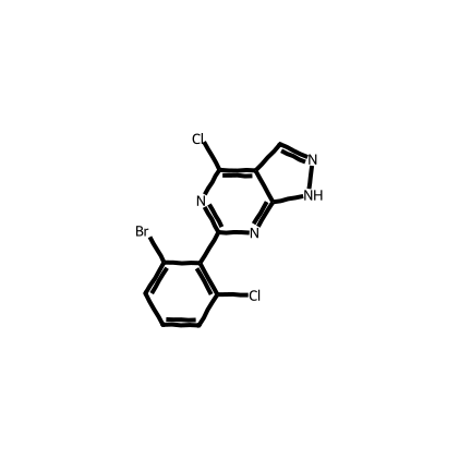 Clc1cccc(Br)c1-c1nc(Cl)c2cn[nH]c2n1